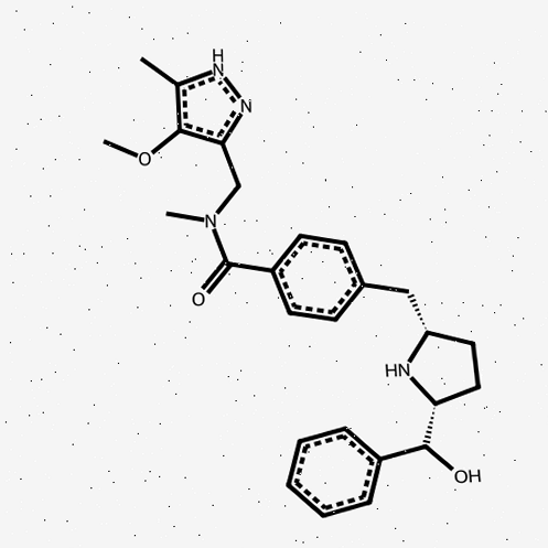 COc1c(CN(C)C(=O)c2ccc(C[C@@H]3CC[C@H](C(O)c4ccccc4)N3)cc2)n[nH]c1C